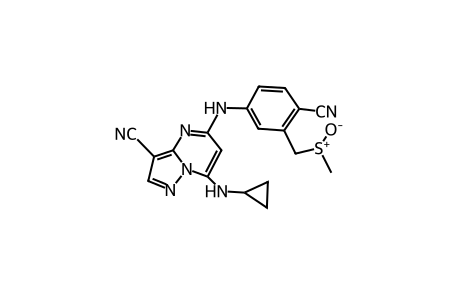 C[S+]([O-])Cc1cc(Nc2cc(NC3CC3)n3ncc(C#N)c3n2)ccc1C#N